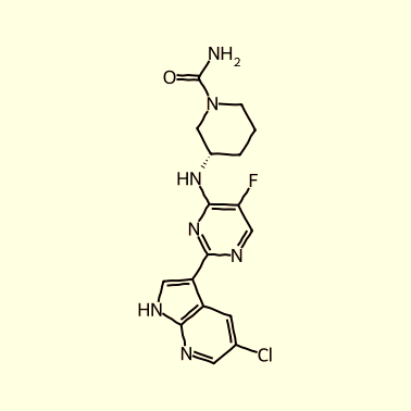 NC(=O)N1CCC[C@H](Nc2nc(-c3c[nH]c4ncc(Cl)cc34)ncc2F)C1